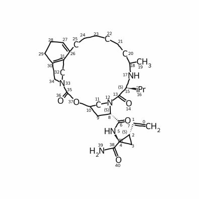 C=C[C@@H]1C[C@]1(NC(=O)[C@@H]1CC2CN1C(=O)[C@H](C(C)C)NC(C)CCCCCCC1=CCCC3=C1CN(C3)C(=O)O2)C(N)=O